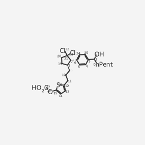 CCCCCC(O)c1ccc([C@@H]2[C@@H](CCCc3ccc(OC(=O)O)s3)CCC2(Cl)Cl)cc1